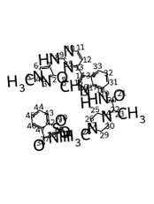 COc1nn(C)cc1Nc1nccc(-c2c[nH]c3c(NC(=O)C(C)N4CCN(C)CC4)cccc23)n1.O=C1NS(=O)(=O)c2ccccc21